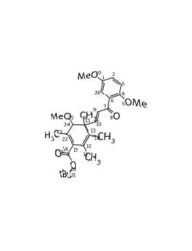 COc1ccc(OC)c(C(=O)C=CC2(C)C(C)=C(C)C(C(=O)OC(C)(C)C)=C(C)C2OC)c1